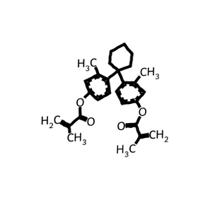 C=C(C)C(=O)Oc1ccc(C2(c3ccc(OC(=O)C(=C)C)cc3C)CCCCC2)c(C)c1